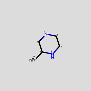 CCCC1C[N]CCN1